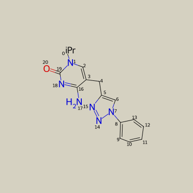 CC(C)n1cc(Cc2cn(-c3ccccc3)nn2)c(N)nc1=O